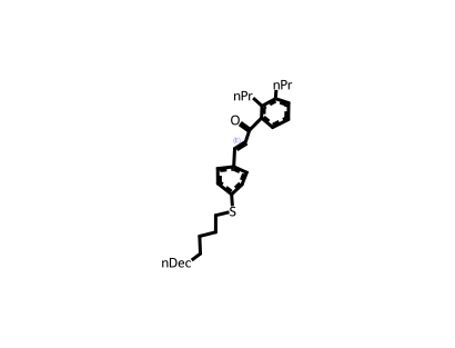 CCCCCCCCCCCCCCSc1ccc(/C=C/C(=O)c2cccc(CCC)c2CCC)cc1